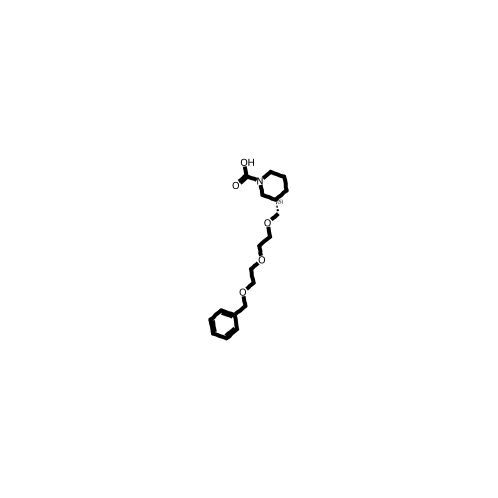 O=C(O)N1CCC[C@H](COCCOCCOCc2ccccc2)C1